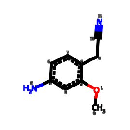 COc1cc(N)ccc1CC#N